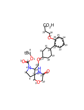 CC(C)(C)OC(=O)N1CCC2(COCC(=O)N2)C1COC1CCC(c2ccccc2OCCC(=O)O)CC1